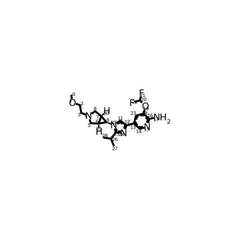 COCCN1C[C@@H]2[C@H](C1)[C@H]2n1cc(-c2cnc(N)c(OC(F)F)c2)nc1C(C)C